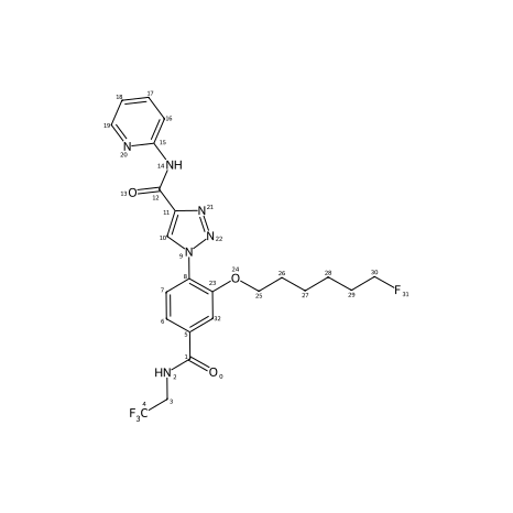 O=C(NCC(F)(F)F)c1ccc(-n2cc(C(=O)Nc3ccccn3)nn2)c(OCCCCCCF)c1